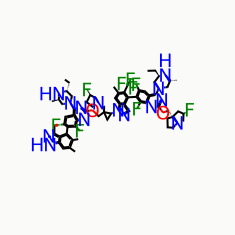 CC[C@@H]1CN(c2nc(OC[C@@]34CCCN3C[C@H](F)C4)nc3c(F)c(-c4c(C(F)(F)F)c(C)cc5c4cnn5C4CC4(COc4nc(N5C[C@@H](CC)N[C@H](C)C5)c5cc(F)c(-c6c(C)c(C)cc7[nH]nc(C)c67)c(F)c5n4)CN4CC[C@@H](F)C4)c(F)cc23)C[C@@H](C)N1